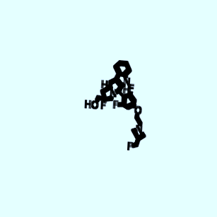 OC[C@@]1(F)C[C@@H]2Cc3c([nH]c4ccccc34)[C@@H](c3c(F)cc(OCCN4CC(CF)C4)cc3F)N2C1